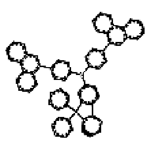 c1ccc2c(c#1)C(c1ccccc1)(c1ccccc1)c1cc(N(c3ccc(-c4cc5ccccc5c5ccccc45)cc3)c3ccc(-c4cc5ccccc5c5ccccc45)cc3)ccc1-2